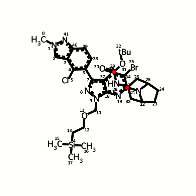 Cn1cc2c(Cl)c(-c3nn(COCC[Si](C)(C)C)c4nc(N5C6CCC5CC(NC(=O)OC(C)(C)C)C6)c(Br)nc34)ccc2n1